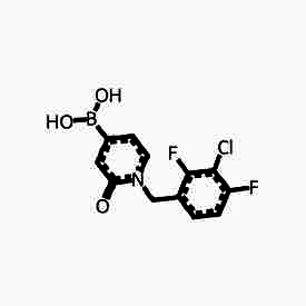 O=c1cc(B(O)O)ccn1Cc1ccc(F)c(Cl)c1F